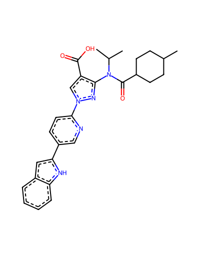 CC1CCC(C(=O)N(c2nn(-c3ccc(-c4cc5ccccc5[nH]4)cn3)cc2C(=O)O)C(C)C)CC1